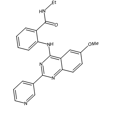 CCNC(=O)c1ccccc1Nc1nc(-c2cccnc2)nc2ccc(OC)cc12